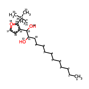 CCCCCCCCCCCC(O)C(O)c1ccoc1[Si](C)(C)C